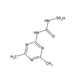 Cc1nc(C)nc(NC(=O)NS(=O)(=O)O)n1